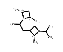 CC(C)N1CC(CC(C)N2[C@H](C)C[C@H]2C)[C@@H]1C